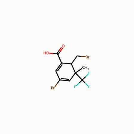 CC1(C(F)(F)F)C=C(Br)C=C(C(=O)O)C1CBr